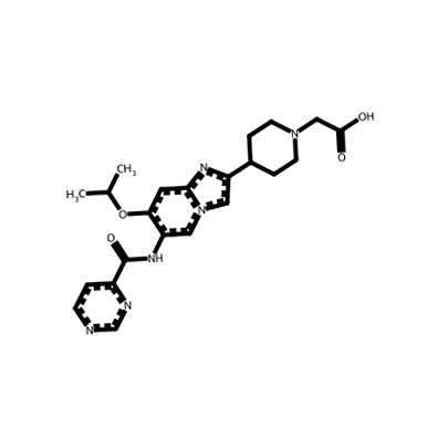 CC(C)Oc1cc2nc(C3CCN(CC(=O)O)CC3)cn2cc1NC(=O)c1ccncn1